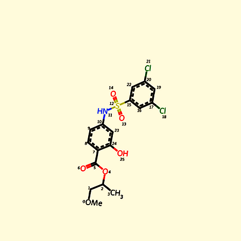 COCC(C)OC(=O)c1ccc(NS(=O)(=O)c2cc(Cl)cc(Cl)c2)cc1O